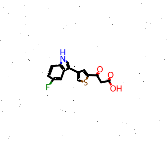 O=C(O)CC(=O)c1cc(-c2c[nH]c3ccc(F)cc23)cs1